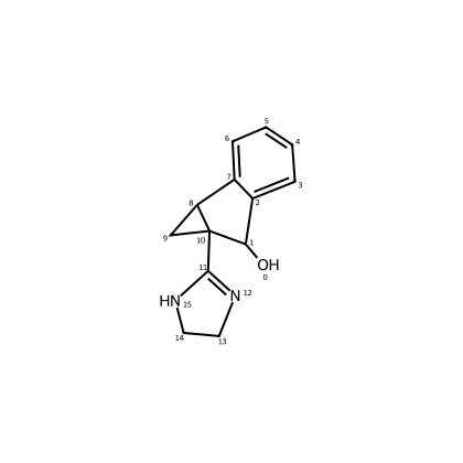 OC1c2ccccc2C2CC12C1=NCCN1